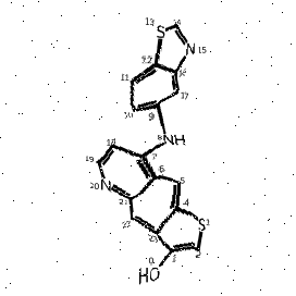 Oc1csc2cc3c(Nc4ccc5scnc5c4)ccnc3cc12